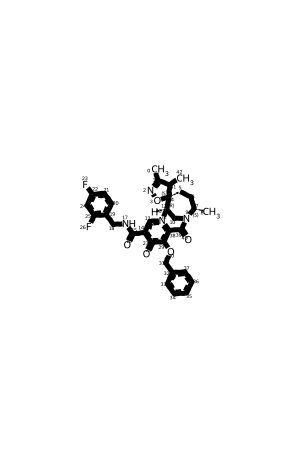 CC1=NO[C@@]2(CC[C@H](C)N3C[C@H]2n2cc(C(=O)NCc4ccc(F)cc4F)c(=O)c(OCc4ccccc4)c2C3=O)C1C